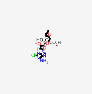 Cc1ccc(CC(OC[C@H]2O[C@@H](n3cnc4c(N)nc(Cl)nc43)[C@@H](F)[C@@H]2O)(C(=O)O)C(=O)O)o1